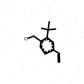 C=Cc1ccc(CCl)c(C(C)(C)C)c1